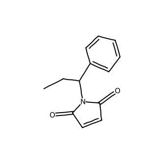 CCC(c1ccccc1)N1C(=O)C=CC1=O